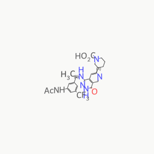 CC(=O)Nc1cc([C@@H](C)Nc2n[nH]c(=O)c3cnc([C@@H]4CCCN(C(=O)O)C4)cc23)cc(C(F)(F)F)c1